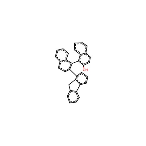 Oc1ccc2ccccc2c1-c1c(-c2cccc3c2Cc2ccccc2-3)ccc2ccccc12